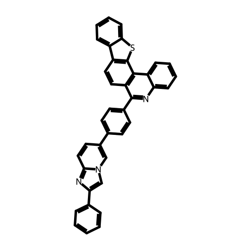 c1ccc(-c2cn3cc(-c4ccc(-c5nc6ccccc6c6c5ccc5c7ccccc7sc56)cc4)ccc3n2)cc1